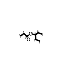 [CH2]CC(=O)OC(CC)CC